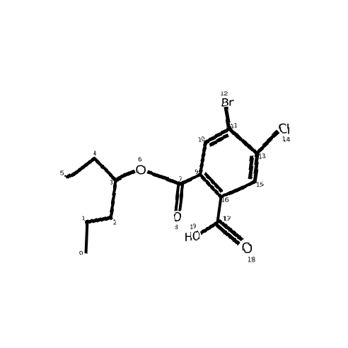 CCCC(CC)OC(=O)c1cc(Br)c(Cl)cc1C(=O)O